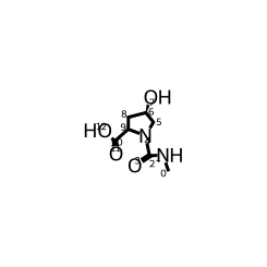 CNC(=O)N1C[C@H](O)CC1C(=O)O